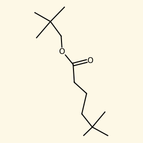 CC(C)(C)CCCC(=O)OCC(C)(C)C